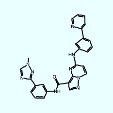 Cn1cnc(-c2cccc(NC(=O)c3cnn4ccc(Nc5cccc(-c6ccccn6)c5)nc34)c2)n1